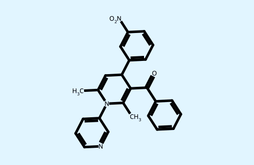 CC1=CC(c2cccc([N+](=O)[O-])c2)C(C(=O)c2ccccc2)=C(C)N1c1cccnc1